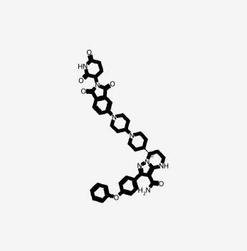 NC(=O)c1c(-c2ccc(Oc3ccccc3)cc2)nn2c1NCC[C@H]2C1CCN(C2CCN(c3ccc4c(c3)C(=O)N(C3CCC(=O)NC3=O)C4=O)CC2)CC1